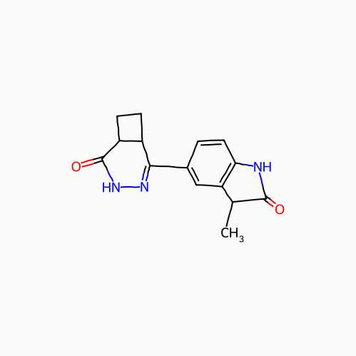 CC1C(=O)Nc2ccc(C3=NNC(=O)C4CCC34)cc21